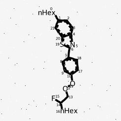 CCCCCCc1ccc2nc(-c3ccc(OOCC(F)CCCCCC)cc3)sc2c1